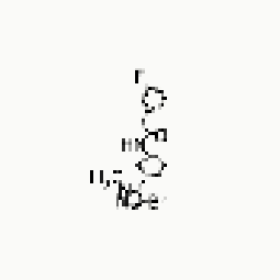 Cn1ncc(Br)c1-c1cccc(NC(=O)Cc2cccc(F)c2)c1